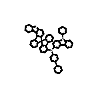 c1ccc(-c2ccc(N(c3ccc4c(c3)c3ccccc3n4-c3ccccc3)c3cccc4c3-c3ccccc3C43c4ccccc4-c4c3ccc3sc5ccccc5c43)cc2)cc1